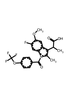 COc1cc2c(C(C)C(=O)O)c(C)n(C(=O)c3ccc(OC(F)(F)F)cc3)c2cc1F